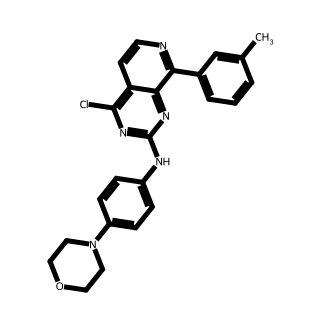 Cc1cccc(-c2nccc3c(Cl)nc(Nc4ccc(N5CCOCC5)cc4)nc23)c1